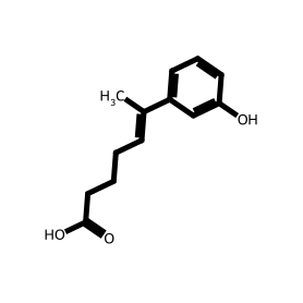 CC(=CCCCC(=O)O)c1cccc(O)c1